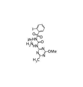 CC(C)N.COc1nc(C)nc(NC(=O)NS(=O)(=O)c2ccccc2I)n1